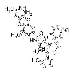 CC(=N)/C=C(/Oc1ccc(C(=O)N[C@H](C)C(=O)N2[C@@H]([C@H](C)N3CCCC3O)CC[C@H]2c2cccc(Cl)c2)nc1C)C(N)=O